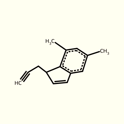 C#CCC1C=Cc2cc(C)cc(C)c21